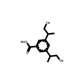 COC(=O)c1cc(C(C)CC#N)cc(C(C)CC#N)c1